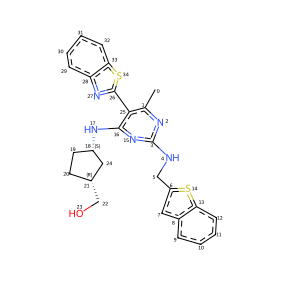 Cc1nc(NCc2cc3ccccc3s2)nc(N[C@H]2CC[C@@H](CO)C2)c1-c1nc2ccccc2s1